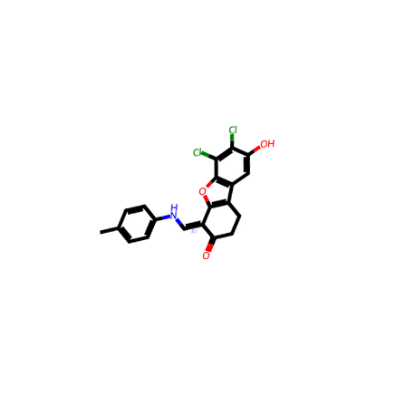 Cc1ccc(N/C=C2/C(=O)CCc3c2oc2c(Cl)c(Cl)c(O)cc32)cc1